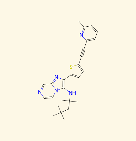 Cc1cccc(C#Cc2ccc(-c3nc4cnccn4c3NC(C)(C)CC(C)(C)C)s2)n1